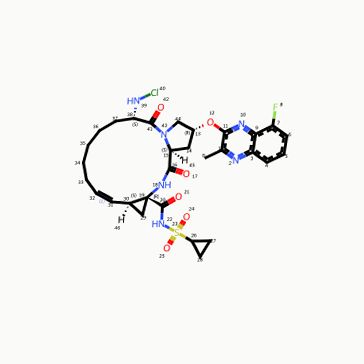 Cc1nc2cccc(F)c2nc1O[C@@H]1C[C@H]2C(=O)N[C@]3(C(=O)NS(=O)(=O)C4CC4)C[C@H]3/C=C\CCCCC[C@H](NCl)C(=O)N2C1